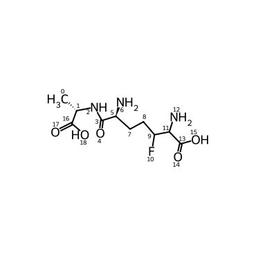 C[C@H](NC(=O)[C@@H](N)CCC(F)C(N)C(=O)O)C(=O)O